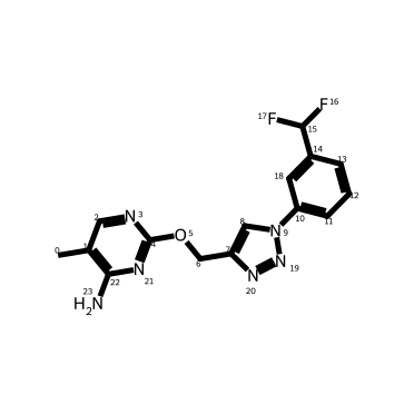 Cc1cnc(OCc2cn(-c3cccc(C(F)F)c3)nn2)nc1N